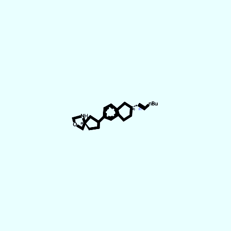 CCCC/C=C/[C@@H]1CCc2cc(C3CC[C@]4(COCN4)C3)ccc2C1